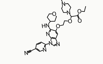 CCOC(=O)C(OCCOc1cc2ncn(-c3ccc(C#N)cn3)c2nc1NC1CCOCC1)N1CCN(C)CC1